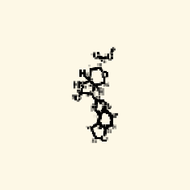 COC(=O)[C@H]1C[C@H]2NC(=O)N(c3nc4c5c(ccc4s3)OCC5)[C@H]2CO1